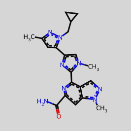 Cc1cc(-c2cn(C)c(-c3nc(C(N)=O)cc4c3cnn4C)n2)n(CC2CC2)n1